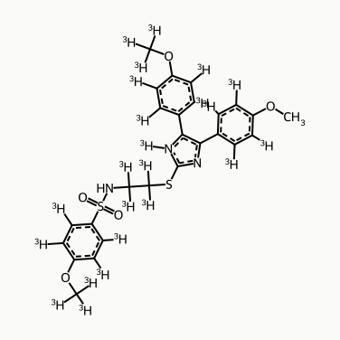 [3H]c1c([3H])c(-c2nc(SC([3H])([3H])C([3H])([3H])NS(=O)(=O)c3c([3H])c([3H])c(OC([3H])([3H])[3H])c([3H])c3[3H])n([3H])c2-c2c([3H])c([3H])c(OC([3H])([3H])[3H])c([3H])c2[3H])c([3H])c([3H])c1OC